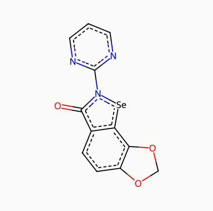 O=c1c2ccc3c(c2[se]n1-c1ncccn1)OCO3